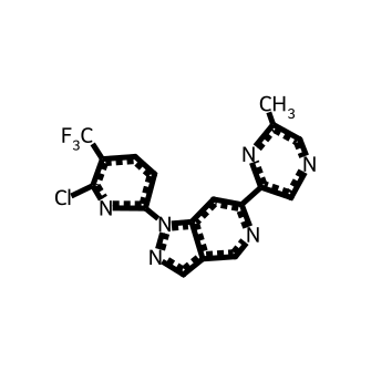 Cc1cncc(-c2cc3c(cn2)cnn3-c2ccc(C(F)(F)F)c(Cl)n2)n1